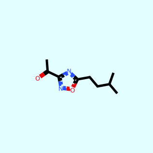 CC(=O)c1noc(CCC(C)C)n1